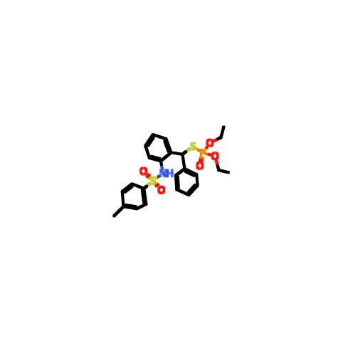 CCOP(=O)(OCC)SC(c1ccccc1)c1ccccc1NS(=O)(=O)c1ccc(C)cc1